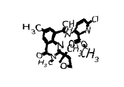 COC(=O)c1nc(Cl)ccc1NC(C)c1cc(C)cc2c(=O)n(C)c(C3(C)CCOC3)nc12